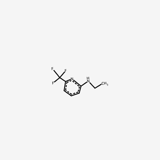 CCNc1cccc(C(F)(F)F)n1